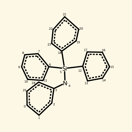 c1ccc([N][Si](c2ccccc2)(c2ccccc2)c2ccccc2)cc1